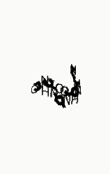 Cc1ccc(NC(=O)c2ccnc(N3CCOCC3)c2)cc1NC(=O)c1ccnc(N(C)CCCN(C)C)c1